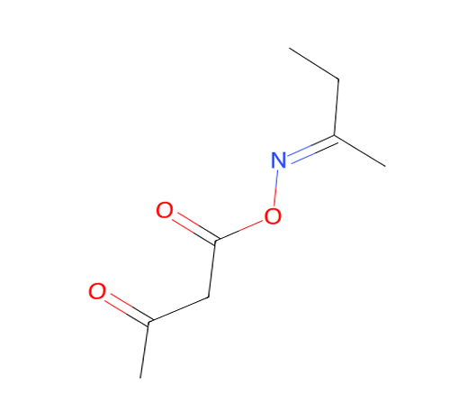 CCC(C)=NOC(=O)CC(C)=O